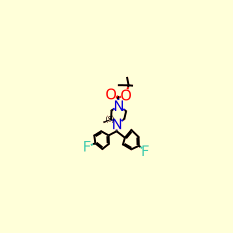 C[C@H]1CN(C(=O)OC(C)(C)C)CCN1C(c1ccc(F)cc1)c1ccc(F)cc1